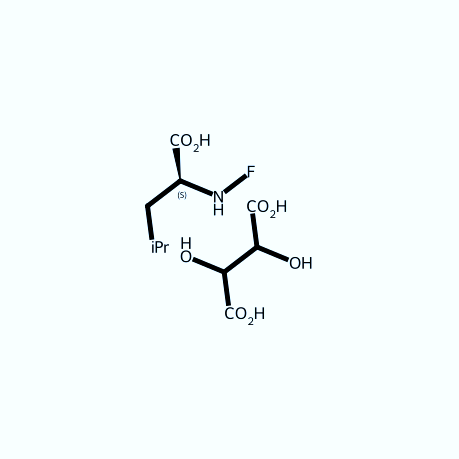 CC(C)C[C@H](NF)C(=O)O.O=C(O)C(O)C(O)C(=O)O